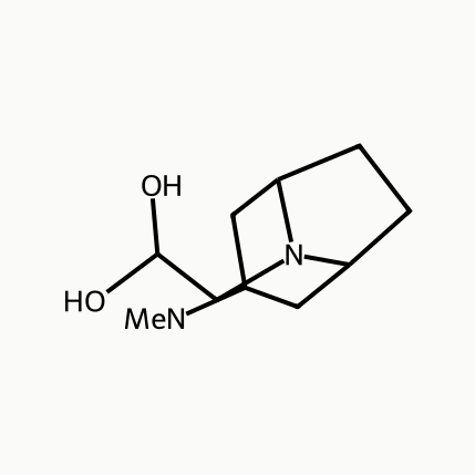 CNC1CC2CCC(C1)N2CC(O)O